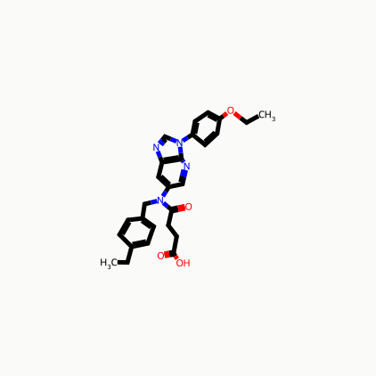 CCOc1ccc(-n2cnc3cc(N(Cc4ccc(CC)cc4)C(=O)CCC(=O)O)cnc32)cc1